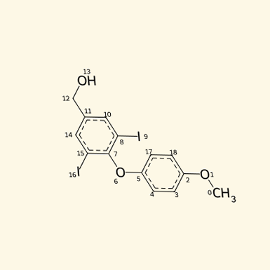 COc1ccc(Oc2c(I)cc(CO)cc2I)cc1